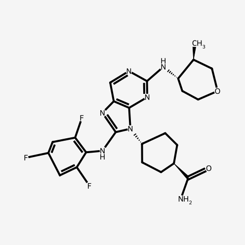 C[C@H]1COCC[C@@H]1Nc1ncc2nc(Nc3c(F)cc(F)cc3F)n([C@H]3CC[C@H](C(N)=O)CC3)c2n1